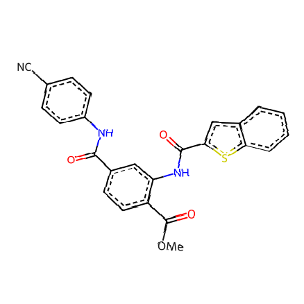 COC(=O)c1ccc(C(=O)Nc2ccc(C#N)cc2)cc1NC(=O)c1cc2ccccc2s1